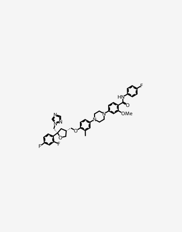 COc1cc(N2CCN(c3ccc(OC[C@@H]4CO[C@@](Cn5cncn5)(c5ccc(F)cc5F)C4)c(C)c3)CC2)ccc1C(=O)Nc1ccc(F)cc1